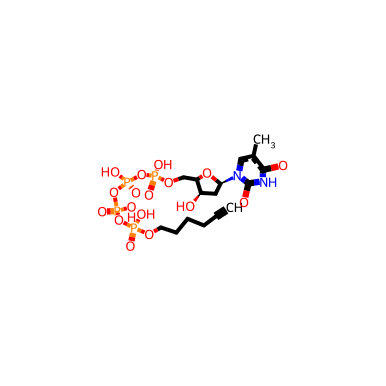 C#CCCCCOP(=O)(O)OP(=O)(O)OP(=O)(O)OP(=O)(O)OCC1O[C@@H](n2cc(C)c(=O)[nH]c2=O)C[C@H]1O